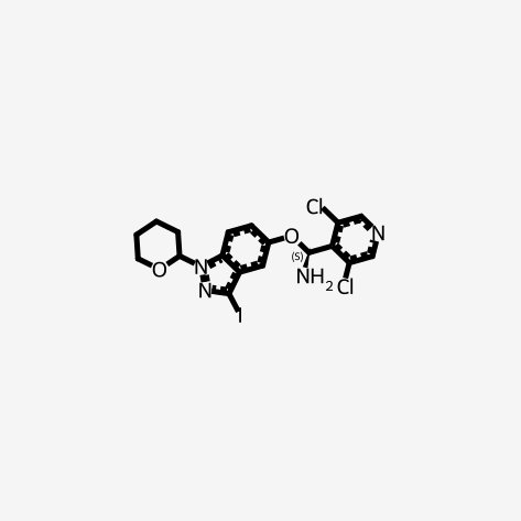 N[C@@H](Oc1ccc2c(c1)c(I)nn2C1CCCCO1)c1c(Cl)cncc1Cl